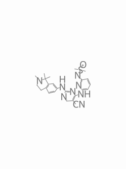 CN1CCc2ccc(Nc3ncc(C#N)c(Nc4cccc(N=S(C)(C)=O)n4)n3)cc2C1(C)C